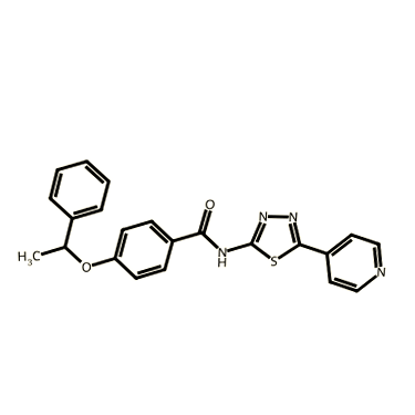 CC(Oc1ccc(C(=O)Nc2nnc(-c3ccncc3)s2)cc1)c1ccccc1